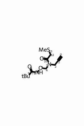 C#CCN(CONC(=O)C(C)(C)C)C(=O)CSC